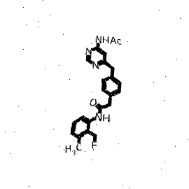 CC(=O)Nc1cc(Cc2ccc(CC(=O)Nc3cccc(C)c3CF)cc2)ncn1